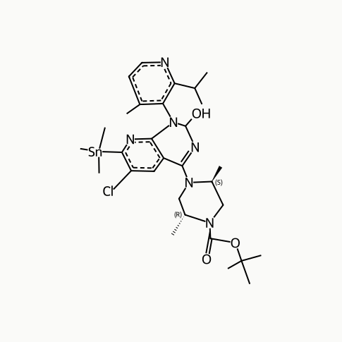 Cc1ccnc(C(C)C)c1N1c2n[c]([Sn]([CH3])([CH3])[CH3])c(Cl)cc2C(N2C[C@@H](C)N(C(=O)OC(C)(C)C)C[C@@H]2C)=NC1O